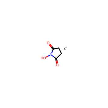 O=C1CCC(=O)N1O.[Zr]